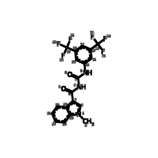 Cn1cc(C(=O)NC(=O)Nc2cc(C(F)(F)F)cc(C(F)(F)F)c2)c2cc[c]cc21